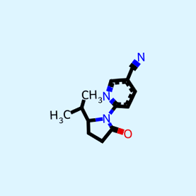 CC(C)C1CCC(=O)N1c1ccc(C#N)cn1